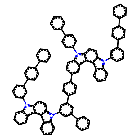 c1ccc(-c2ccc(-c3cccc(-n4c5ccccc5c5c6c7ccccc7n(-c7cc(-c8ccccc8)cc(-c8ccc(-c9ccc%10c(c9)c9c%11c%12ccccc%12n(-c%12cccc(-c%13ccc(-c%14ccccc%14)cc%13)c%12)c%11ccc9n%10-c9ccc(-c%10ccccc%10)cc9)cc8)c7)c6ccc54)c3)cc2)cc1